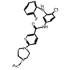 CC(=O)N1CCN(c2ccc(C(=O)Nc3ccc(Cl)c(Nc4ccccc4F)c3)cn2)CC1